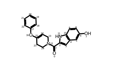 O=C(c1cc2cc(O)ccc2[nH]1)N1CC=C(Oc2ccccc2)CC1